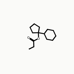 CCC(=O)OC1(C2CCCCC2)CCCC1